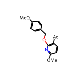 COc1ccc(COc2nc(OC)ccc2C(C)=O)cc1